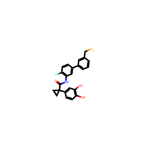 O=C(Nc1cc(-c2cccc(CP)c2)ccc1F)C1(c2ccc(O)c(O)c2)CC1